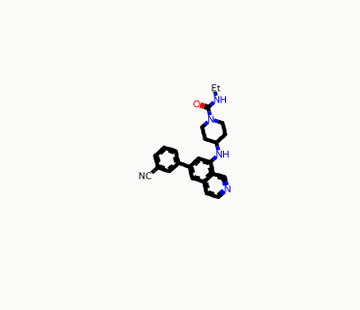 CCNC(=O)N1CCC(Nc2cc(-c3cccc(C#N)c3)cc3ccncc23)CC1